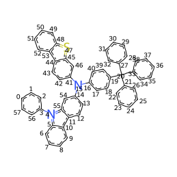 c1ccc(-n2c3ccccc3c3ccc(N(c4ccc(C(c5ccccc5)(c5ccccc5)c5ccccc5)cc4)c4ccc5c(c4)sc4ccccc45)cc32)cc1